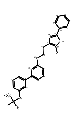 CCC(C)(Oc1cccc(-c2cccc(OCCc3nc(-c4ccccc4)oc3C)n2)c1)C(=O)O